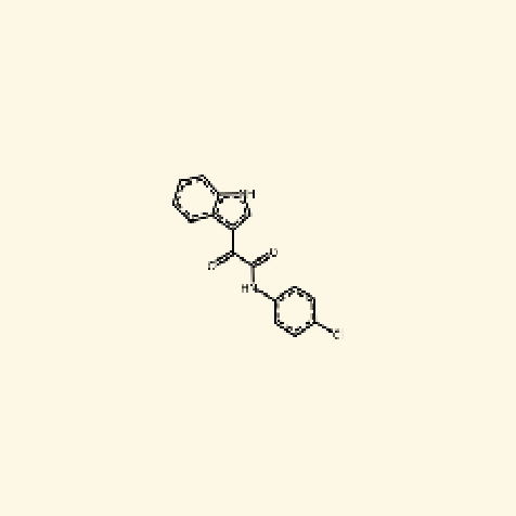 O=C(Nc1ccc(Cl)cc1)C(=O)c1c[nH]c2ccccc12